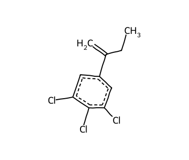 C=C(CC)c1cc(Cl)c(Cl)c(Cl)c1